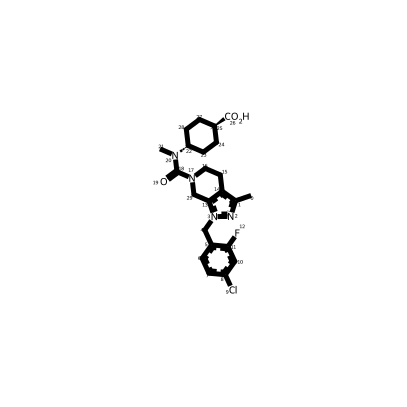 Cc1nn(Cc2ccc(Cl)cc2F)c2c1CCN(C(=O)N(C)[C@H]1CC[C@H](C(=O)O)CC1)C2